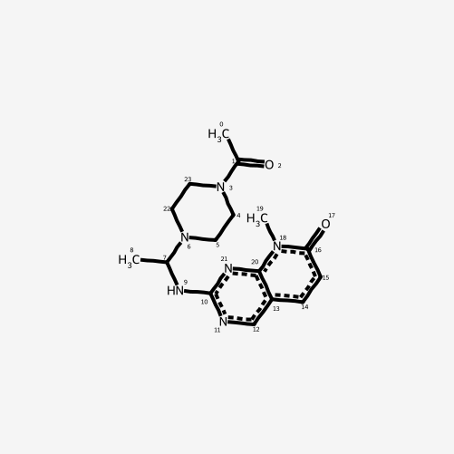 CC(=O)N1CCN(C(C)Nc2ncc3ccc(=O)n(C)c3n2)CC1